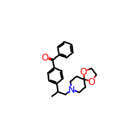 CC(CN1CCC2(CC1)OCCO2)c1ccc(C(=O)c2ccccc2)cc1